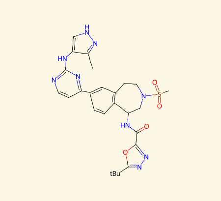 Cc1n[nH]cc1Nc1nccc(-c2ccc3c(c2)CCN(S(C)(=O)=O)CC3NC(=O)c2nnc(C(C)(C)C)o2)n1